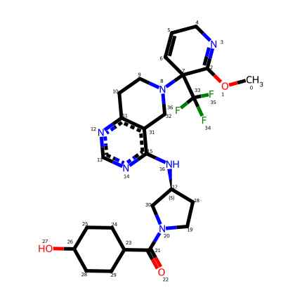 COC1=NCC=CC1(N1CCc2ncnc(N[C@H]3CCN(C(=O)C4CCC(O)CC4)C3)c2C1)C(F)(F)F